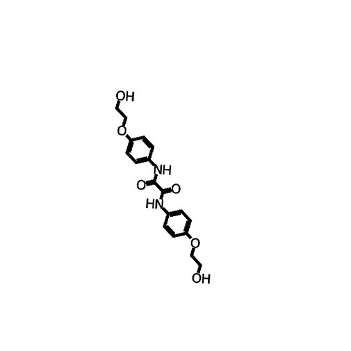 O=C(Nc1ccc(OCCO)cc1)C(=O)Nc1ccc(OCCO)cc1